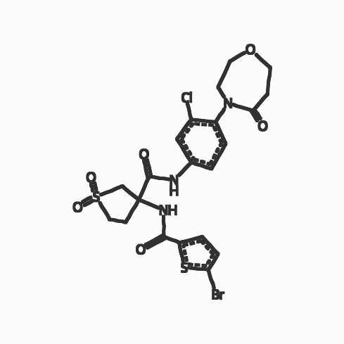 O=C(NC1(C(=O)Nc2ccc(N3CCOCCC3=O)c(Cl)c2)CCS(=O)(=O)C1)c1ccc(Br)s1